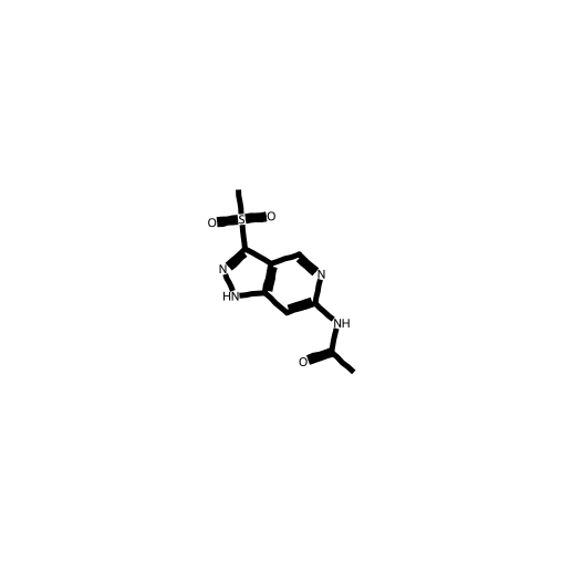 CC(=O)Nc1cc2[nH]nc(S(C)(=O)=O)c2cn1